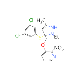 CCN1NC(C)=CC1(COc1cccnc1[N+](=O)[O-])Sc1cc(Cl)cc(Cl)c1